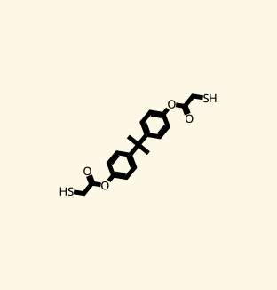 CC(C)(c1ccc(OC(=O)CS)cc1)c1ccc(OC(=O)CS)cc1